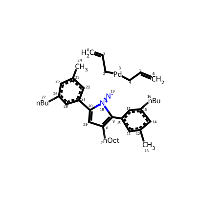 C=C[CH2][Pd][CH2]C=C.CCCCCCCCC1=C(c2cc(C)cc(CCCC)c2)[N+](=[N-])C(c2cc(C)cc(CCCC)c2)=C1